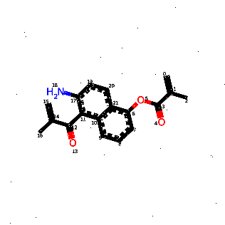 C=C(C)C(=O)Oc1cccc2c(C(=O)C(=C)C)c(N)ccc12